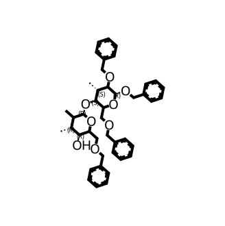 CC1[C@H](O[C@@H]2C(COCc3ccccc3)O[C@@H](OCc3ccccc3)C(OCc3ccccc3)[C@H]2C)OC(COCc2ccccc2)[C@H](O)[C@@H]1C